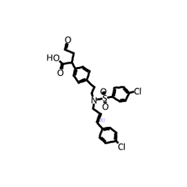 O=CCC(C(=O)O)c1ccc(CCN(C/C=C/c2ccc(Cl)cc2)S(=O)(=O)c2ccc(Cl)cc2)cc1